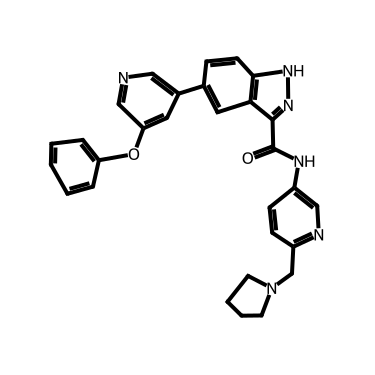 O=C(Nc1ccc(CN2CCCC2)nc1)c1n[nH]c2ccc(-c3cncc(Oc4ccccc4)c3)cc12